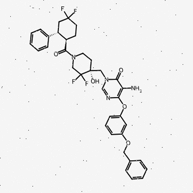 Nc1c(Oc2cccc(OCc3ccccc3)c2)ncn(C[C@]2(O)CCN(C(=O)[C@@H]3CCC(F)(F)C[C@H]3c3ccccc3)CC2(F)F)c1=O